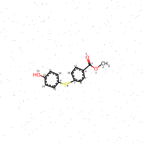 COC(=O)c1ccc(Sc2ccc(O)cc2)cc1